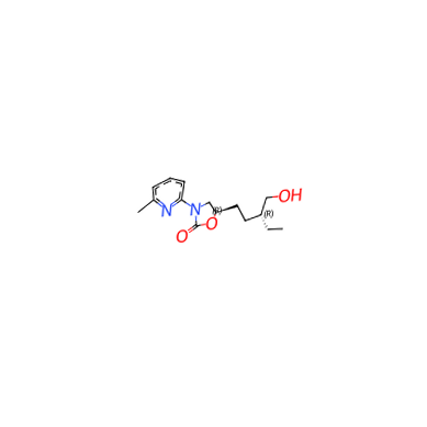 CC[C@@H](CO)CC[C@@H]1CN(c2cccc(C)n2)C(=O)O1